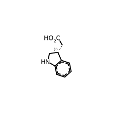 O=C(O)C[C@H]1CNc2ccccc21